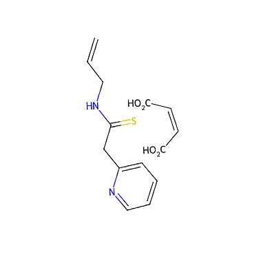 C=CCNC(=S)Cc1ccccn1.O=C(O)/C=C\C(=O)O